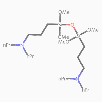 CCCN(CCC)CCC[Si](OC)(OC)O[Si](CCCN(CCC)CCC)(OC)OC